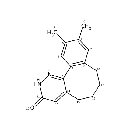 Cc1cc2c(cc1C)-c1n[nH]c(=O)cc1CCCC2